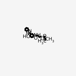 CC(C)C(=O)OCCCC(=O)Nc1ccc(O)c(-n2nc3ccccc3n2)c1